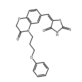 O=C1NC(=S)SC1=Cc1ccc2c(c1)N(CCCOc1ccccc1)C(=O)CO2